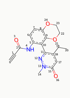 C#CC(=O)Nc1ccc2c(c1-c1nn(C)c(=O)cc1CC)OCCO2